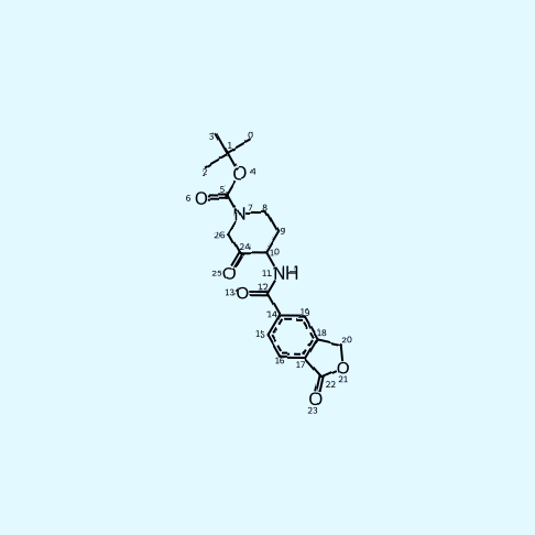 CC(C)(C)OC(=O)N1CCC(NC(=O)c2ccc3c(c2)COC3=O)C(=O)C1